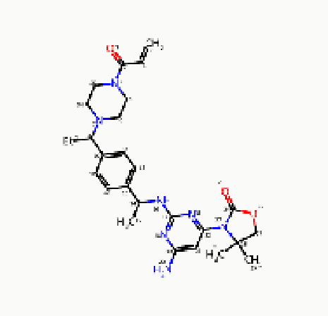 C=CC(=O)N1CCN(C(CC)c2ccc([C@H](C)Nc3nc(N)cc(N4C(=O)OCC4(C)C)n3)cc2)CC1